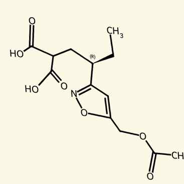 CC[C@H](CC(C(=O)O)C(=O)O)c1cc(COC(C)=O)on1